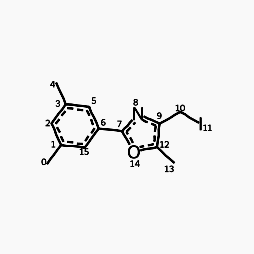 Cc1cc(C)cc(-c2nc(CI)c(C)o2)c1